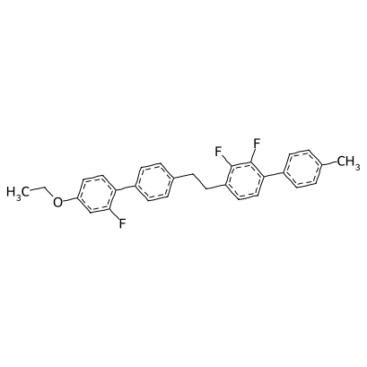 CCOc1ccc(-c2ccc(CCc3ccc(-c4ccc(C)cc4)c(F)c3F)cc2)c(F)c1